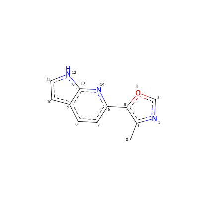 Cc1ncoc1-c1ccc2cc[nH]c2n1